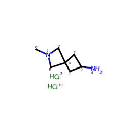 CN1CC2(CC(N)C2)C1.Cl.Cl